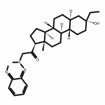 CC[C@@]1(O)CC[C@H]2[C@@H](CC[C@@H]3[C@@H]2CC[C@]2(C)[C@@H](C(=O)CN(C)/N=C4/C=CC=C/C4=N/C)CC[C@@H]32)C1